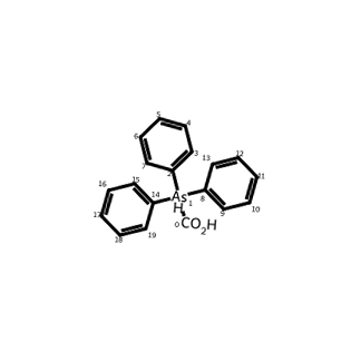 O=C(O)[AsH](c1ccccc1)(c1ccccc1)c1ccccc1